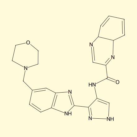 O=C(Nc1c[nH]nc1-c1nc2cc(CN3CCOCC3)ccc2[nH]1)C1=NC2C=CC=CC2N=C1